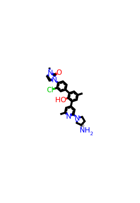 Cc1cc(-c2cc(C)nc(N3CC[C@H](N)C3)c2)c(O)c(-c2ccc(-n3ccn(C)c3=O)c(Cl)c2)c1